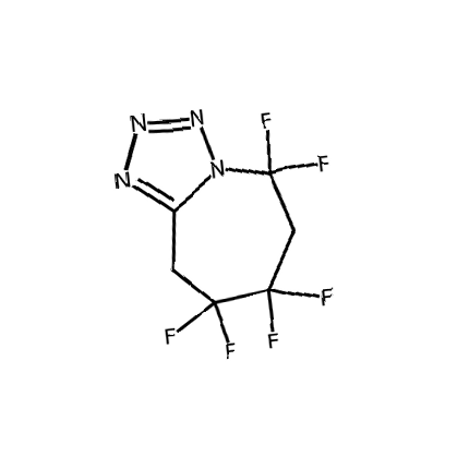 FC1(F)CC(F)(F)C(F)(F)Cc2nnnn21